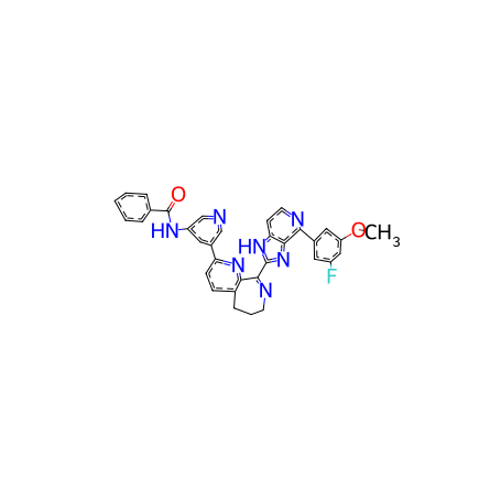 COc1cc(F)cc(-c2nccc3[nH]c(C4=NCCCc5ccc(-c6cncc(NC(=O)c7ccccc7)c6)nc54)nc23)c1